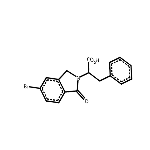 O=C(O)C(Cc1ccccc1)N1Cc2cc(Br)ccc2C1=O